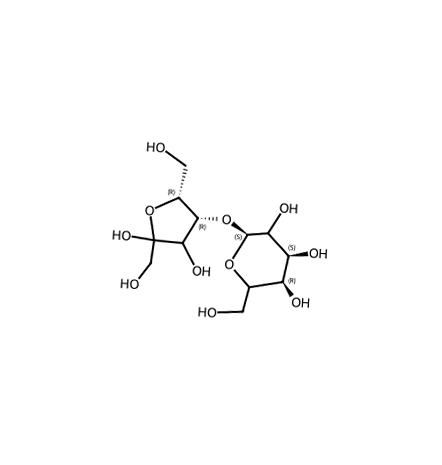 OCC1O[C@@H](O[C@@H]2C(O)C(O)(CO)O[C@@H]2CO)C(O)[C@@H](O)[C@H]1O